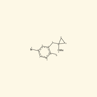 COC1(Cc2cc(Br)cnc2C)CC1